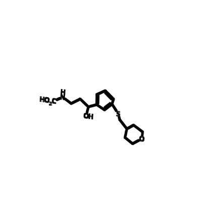 O=C(O)NCCC(O)c1cccc(SCC2CCOCC2)c1